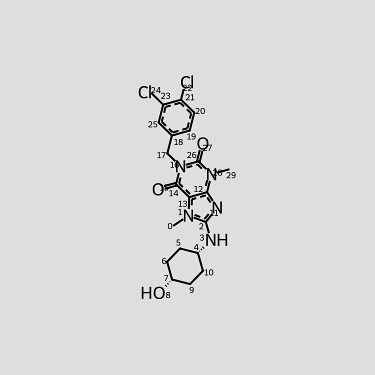 Cn1c(N[C@H]2CC[C@@H](O)CC2)nc2c1c(=O)n(Cc1ccc(Cl)c(Cl)c1)c(=O)n2C